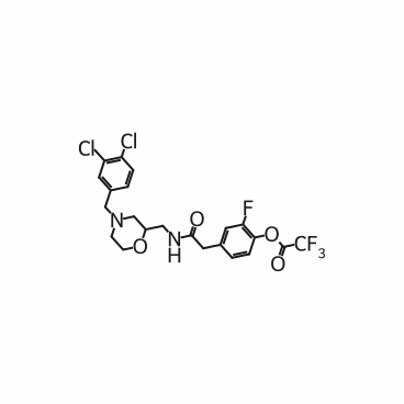 O=C(Cc1ccc(OC(=O)C(F)(F)F)c(F)c1)NCC1CN(Cc2ccc(Cl)c(Cl)c2)CCO1